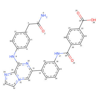 NC(=O)Cc1ccc(Nc2nc(-c3cccc(NC(=O)c4ccc(C(=O)O)cc4)c3)cn3ccnc23)cc1